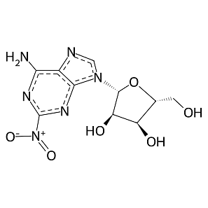 Nc1nc([N+](=O)[O-])nc2c1ncn2[C@@H]1O[C@H](CO)[C@@H](O)[C@H]1O